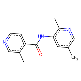 Cc1cnccc1C(=O)Nc1cc(C(F)(F)F)cnc1C